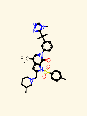 Cc1ccc(S(=O)(=O)n2c(CN3CCC[C@H](C)C3)cc3c(C(F)(F)F)cn(-c4cccc(C(C)(C)c5nncn5C)c4)c(=O)c32)cc1